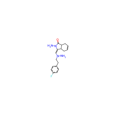 NN(/C=C1\C2CC=CCC2C(=O)N1N)CCc1ccc(F)cc1